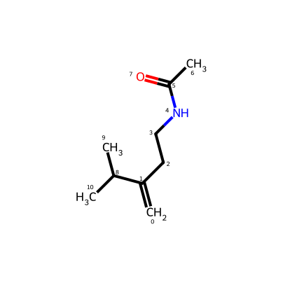 C=C(CCNC(C)=O)C(C)C